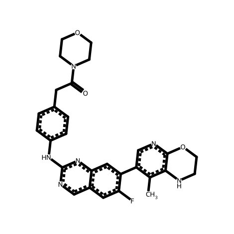 Cc1c(-c2cc3nc(Nc4ccc(CC(=O)N5CCOCC5)cc4)ncc3cc2F)cnc2c1NCCO2